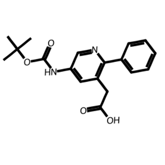 CC(C)(C)OC(=O)Nc1cnc(-c2ccccc2)c(CC(=O)O)c1